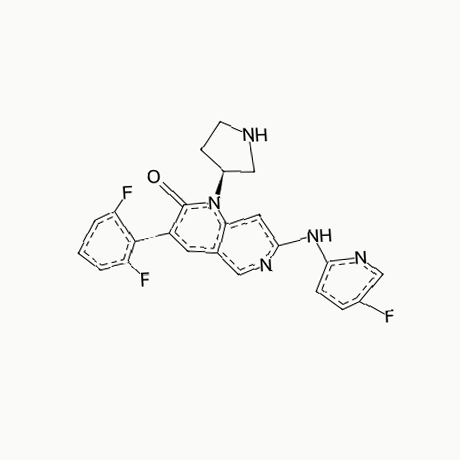 O=c1c(-c2c(F)cccc2F)cc2cnc(Nc3ccc(F)cn3)cc2n1[C@H]1CCNC1